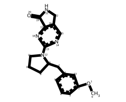 COc1cccc(CC2CCCN2c2ncc3c(n2)C(=O)NC3)c1